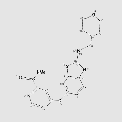 CNC(=O)c1cc(Oc2ccc3nc(NCC4CCOCC4)sc3c2)ccn1